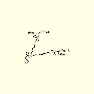 CCCCCC(CCCCC)CC(=O)OCCCCCCCCCC(CCCCCCCOC(=O)CC(CCCCC)CCCCC)OC(=O)CN1CCCC1